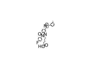 Cc1cccc(C2CC(c3ccc4c(=O)n(-c5ccc(F)cc5)c(CCCCC(=O)O)nc4c3)=NO2)c1